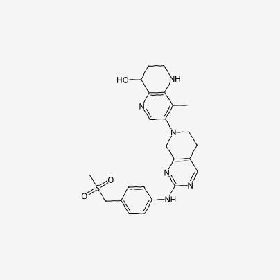 Cc1c(N2CCc3cnc(Nc4ccc(CS(C)(=O)=O)cc4)nc3C2)cnc2c1NCCC2O